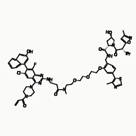 C=CC(=O)N1CCN(c2nc(NCCC(=O)N(C)CCOCCOCCOc3cc(-c4scnc4C)ccc3CNC(=O)[C@@H]3C[C@@H](O)CN3C(=O)[C@H](c3cc(C)no3)C(C)C)nc3c(F)c(-c4cc(O)cc5ccccc45)c(Cl)cc23)CC1